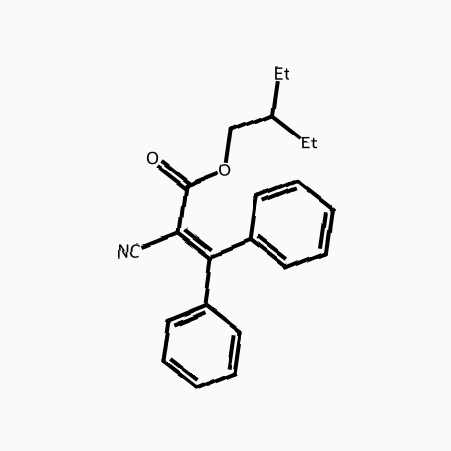 CCC(CC)COC(=O)C(C#N)=C(c1ccccc1)c1ccccc1